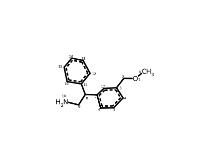 COCc1cccc(C(CN)c2ccccc2)c1